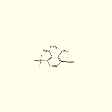 COc1ccc([N+](C)(C)C)c(OC)c1OC.[SnH4]